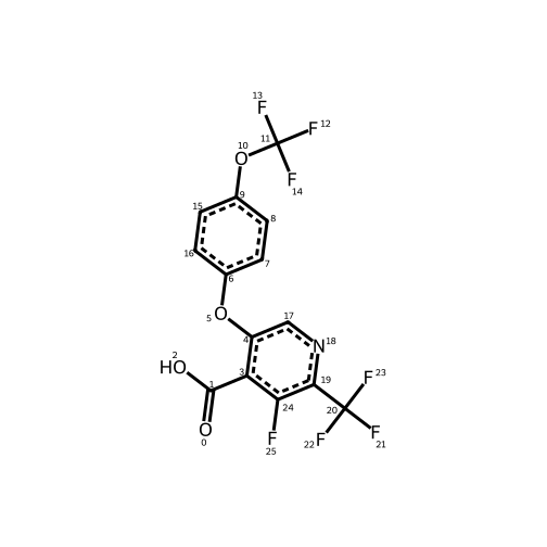 O=C(O)c1c(Oc2ccc(OC(F)(F)F)cc2)cnc(C(F)(F)F)c1F